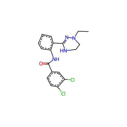 CCN1CCNC(c2ccccc2NC(=O)c2ccc(Cl)c(Cl)c2)=N1